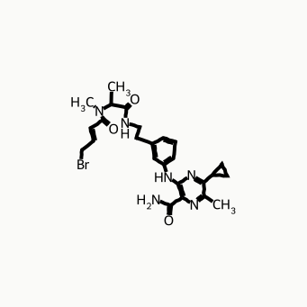 Cc1nc(C(N)=O)c(Nc2cccc(CCNC(=O)C(C)N(C)C(=O)C=CCBr)c2)nc1C1CC1